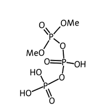 COP(=O)(OC)OP(=O)(O)OP(=O)(O)O